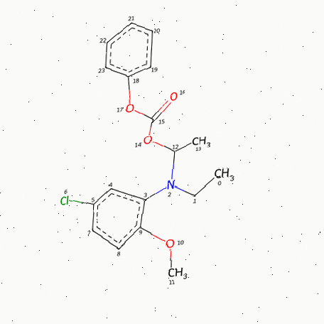 CCN(c1cc(Cl)ccc1OC)C(C)OC(=O)Oc1ccccc1